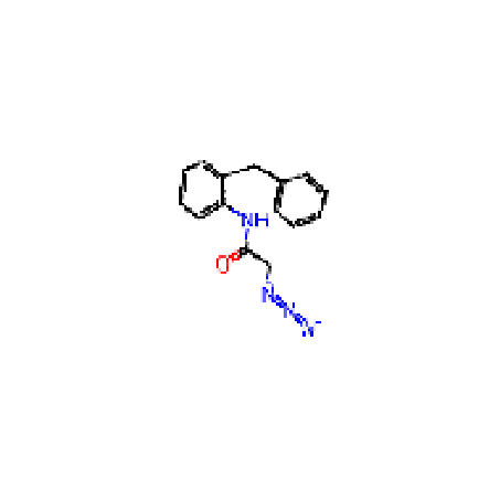 [N-]=[N+]=NCC(=O)Nc1ccccc1Cc1ccccc1